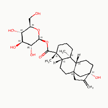 C=C1C[C@@]23CC[C@H]4[C@@](C)(CCC[C@@]4(C)C(=O)O[C@@H]4O[C@H](CO)[C@@H](O)[C@H](O)[C@H]4O)[C@@H]2CC[C@]1(O)C3